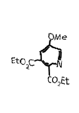 CCOC(=O)c1cc(OC)cnc1C(=O)OCC